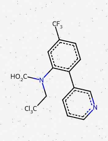 O=C(O)N(CC(Cl)(Cl)Cl)c1cc(C(F)(F)F)ccc1-c1cccnc1